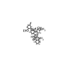 CCOc1ccc(F)cc1-c1ccc(C(=O)NS(=O)(=O)c2cccnc2N)c(N2CCC(C)C2(C)C)n1